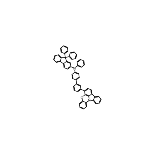 c1ccc(N(c2ccc(-c3cccc(-c4ccc5c6ccccc6n6c5c4Oc4ccccc4-6)c3)cc2)c2ccc3c(c2)C(c2ccccc2)(c2ccccc2)c2ccccc2-3)cc1